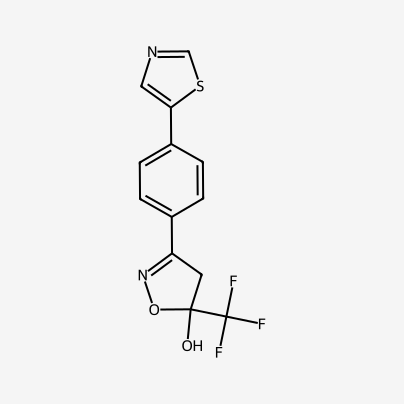 OC1(C(F)(F)F)CC(c2ccc(-c3cncs3)cc2)=NO1